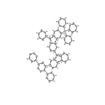 c1ccc(-c2ccc(-c3ccccc3)c(-c3ccc4c5ccccc5n(-c5ccc6c(c5)c5cc(C(c7ccccc7)(c7ccccc7)c7ccccc7)ccc5n6-c5ccccc5)c4c3)c2)cc1